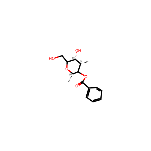 C[C@@H]1OC(CO)[C@H](O)[C@H](C)C1OC(=O)c1ccccc1